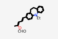 CCN1c2ccccc2CCc2cc(/C=C/C=C(/C)OC=O)ccc21